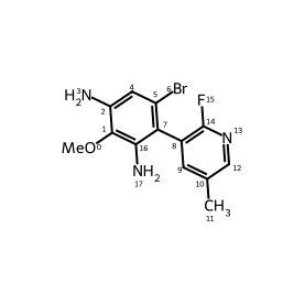 COc1c(N)cc(Br)c(-c2cc(C)cnc2F)c1N